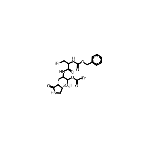 CC(C)CC(NC(=O)OCc1ccccc1)C(=O)NC(C[C@@H]1CCNC1=O)C(OC(=O)C(C)C)S(=O)(=O)O